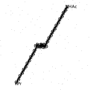 CCCOCCOCCOCCOCCOCCOCCOCCOCCOCCOCCOCCCC(=O)C(F)(F)OC(F)(F)C(F)(F)OC(F)(F)C(=O)NCCOCCOCCOCCOCCOCCOCCOCCOCCOCCOCCOCCNC(C)=O